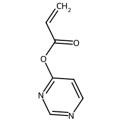 C=CC(=O)Oc1ccncn1